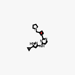 c1cc(Nc2cc(C3CC3)[nH]n2)nc(N2CC3(CN4CCCC4)CC2C3)n1